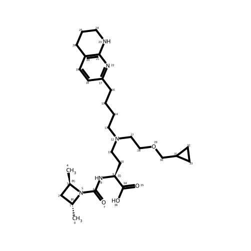 C[C@@H]1C[C@@H](C)N1C(=O)N[C@@H](CCN(CCCCc1ccc2c(n1)NCCC2)CCOCC1CC1)C(=O)O